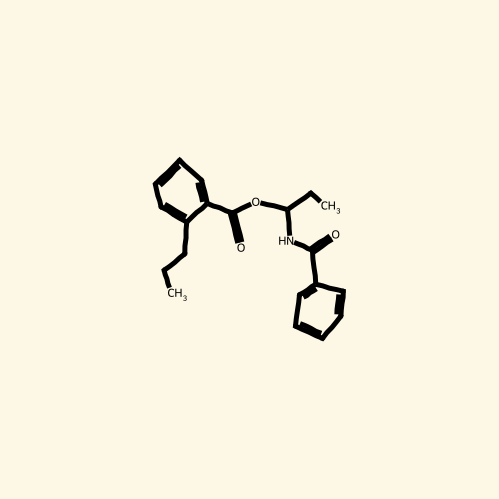 CCCc1ccccc1C(=O)OC(CC)NC(=O)c1ccccc1